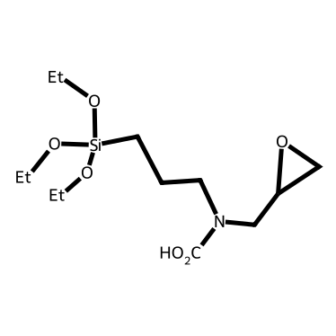 CCO[Si](CCCN(CC1CO1)C(=O)O)(OCC)OCC